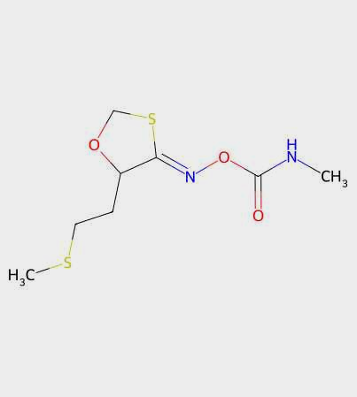 CNC(=O)ON=C1SCOC1CCSC